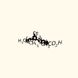 Cc1nc(C)c(COc2cc(-c3nc(Cn4cc(C(=O)O)cn4)c(C)s3)cc(C(F)(F)F)c2)s1